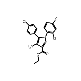 CCOC(=O)c1nn(-c2ccc(Cl)cc2Cl)c(-c2ccc(Cl)cc2)c1N